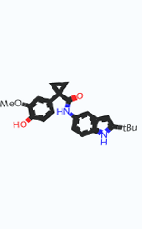 COc1cc(C2(C(=O)Nc3ccc4[nH]c(C(C)(C)C)cc4c3)CC2)ccc1O